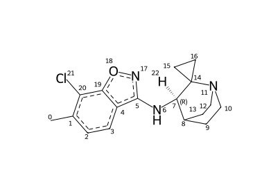 Cc1ccc2c(N[C@@H]3C4CCN(CC4)C34CC4)noc2c1Cl